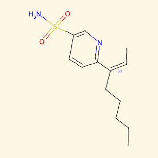 C/C=C(/CCCCC)c1ccc(S(N)(=O)=O)cn1